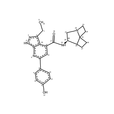 CCc1n[nH]c2nc(-c3ccc(O)cc3)cc(C(=O)N[C@H]3CN4CCC45CCC35)c12